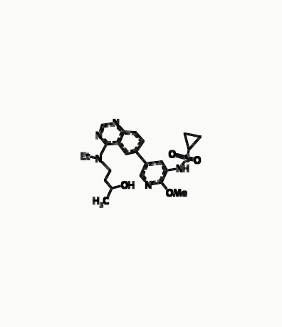 CCN(CCC(C)O)c1ncnc2ccc(-c3cnc(OC)c(NS(=O)(=O)C4CC4)c3)cc12